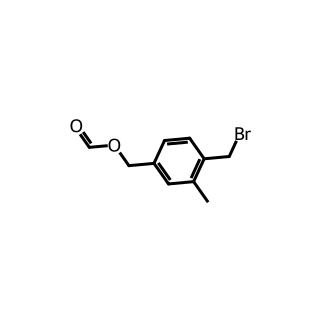 Cc1cc(COC=O)ccc1CBr